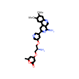 COc1cc2ncc3c(N)nc(-c4cncc(OC[C@@H](N)COc5cc(C)oc(=O)c5)c4)cc3c2cc1OC